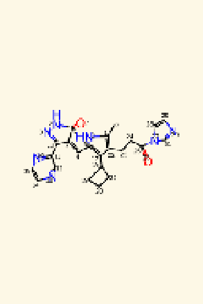 Cc1[nH]c(C=C2C(=O)NN=C2c2cnccn2)c(C2CCC2)c1CCC(=O)n1ccnc1